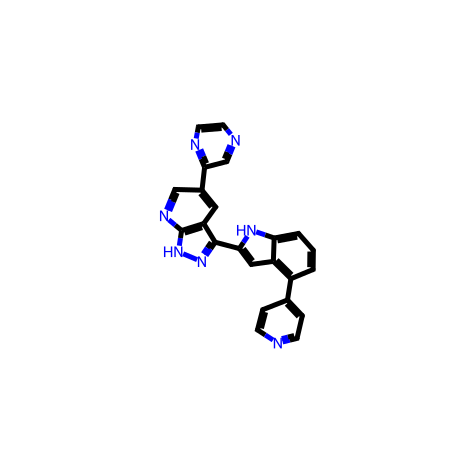 c1cc(-c2ccncc2)c2cc(-c3n[nH]c4ncc(-c5cnccn5)cc34)[nH]c2c1